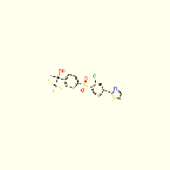 CC(O)(c1ccc(S(=O)(=O)c2ccc(-c3nccs3)cc2Cl)cc1)C(F)(F)F